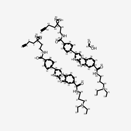 C#CCCC1(CCNC(=O)c2ccc(-c3cn4c(n3)sc3cc(C(=O)NCCCN(CC)CC)ccc34)cc2)N=N1.C#CCCC1(CCNC(=O)c2ccc(-c3cn4c(n3)sc3cc(C(=O)NCCCN(CC)CC)ccc34)cc2)N=N1.O=CO